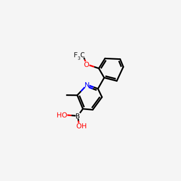 Cc1nc(-c2ccccc2OC(F)(F)F)ccc1B(O)O